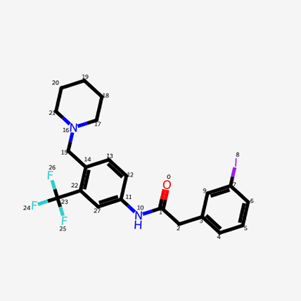 O=C(Cc1cccc(I)c1)Nc1ccc(CN2CCCCC2)c(C(F)(F)F)c1